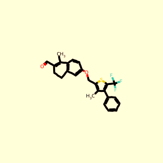 CC1=C(C=O)CCc2cc(OCc3sc(C(F)(F)F)c(-c4ccccc4)c3C)ccc21